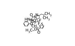 CCOC(=O)c1ccsc1.COc1ccccc1NC(=O)C(=O)N1N=C(CC(C)C)CC1(O)C(F)(F)F